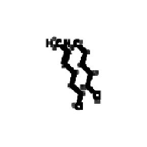 CC=CCCCCl.CCCCCCl